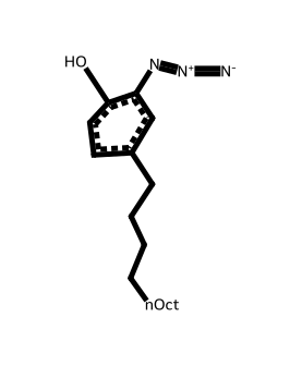 CCCCCCCCCCCCc1ccc(O)c(N=[N+]=[N-])c1